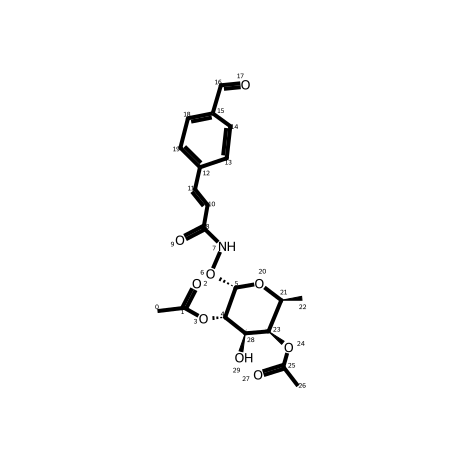 CC(=O)O[C@@H]1[C@H](ONC(=O)/C=C/c2ccc(C=O)cc2)O[C@@H](C)[C@@H](OC(C)=O)[C@H]1O